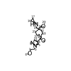 COCCn1cc(C(=O)N2CCC(CNC3CC3)(COC)CC2)cn1